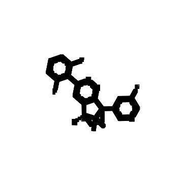 CC1(C)[C@H]2CCC1(c1cncc(F)c1)c1nnc(-c3c(F)cccc3F)cc12